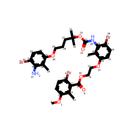 COc1ccc(Br)c(C(=O)OCCOc2ccc(Br)c(NC(=O)OC(C)(C)CCCOc3ccc(Br)c(N)c3C)c2C)c1C